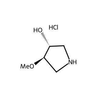 CO[C@@H]1CNC[C@H]1O.Cl